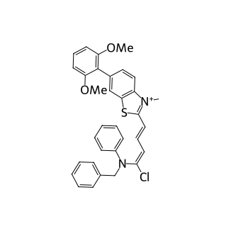 COc1cccc(OC)c1-c1ccc2c(c1)sc(C=C/C=C(/Cl)N(Cc1ccccc1)c1ccccc1)[n+]2C